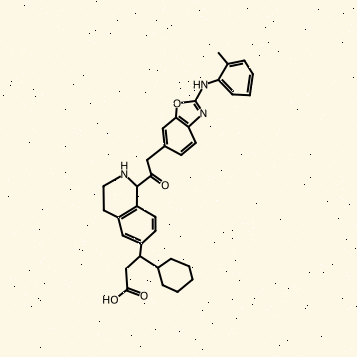 Cc1ccccc1Nc1nc2ccc(CC(=O)C3NCCc4cc(C(CC(=O)O)C5CCCCC5)ccc43)cc2o1